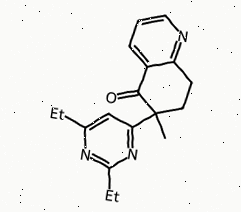 CCc1cc(C2(C)CCc3ncccc3C2=O)nc(CC)n1